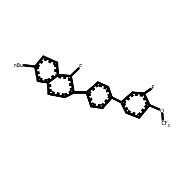 CCCCc1ccc2c(F)c(-c3ccc(-c4ccc(OC(F)(F)F)c(F)c4)cc3)ccc2c1